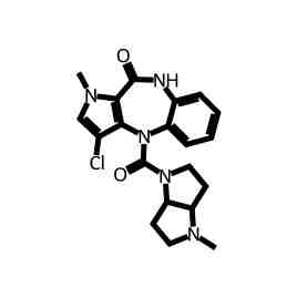 CN1CCC2C1CCN2C(=O)N1c2ccccc2NC(=O)c2c1c(Cl)cn2C